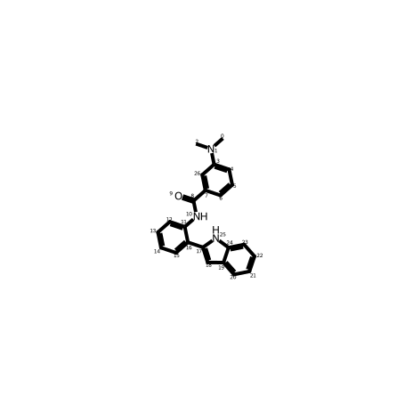 CN(C)c1cccc(C(=O)Nc2ccccc2-c2cc3ccccc3[nH]2)c1